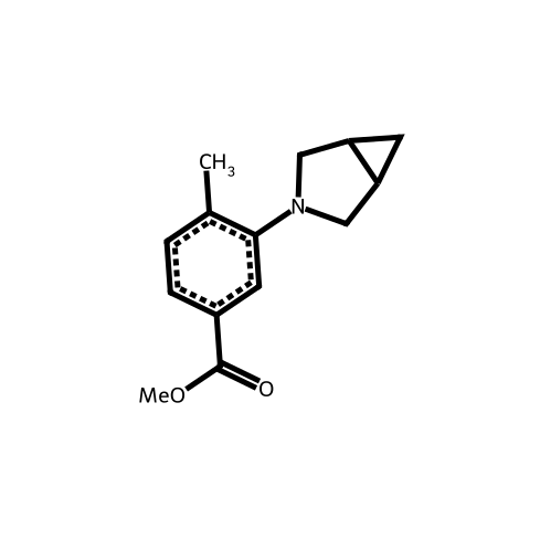 COC(=O)c1ccc(C)c(N2CC3CC3C2)c1